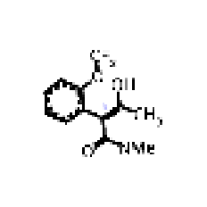 CNC(=O)/C(=C(\C)O)c1ccccc1OC(F)(F)F